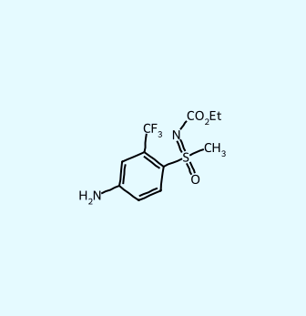 CCOC(=O)N=S(C)(=O)c1ccc(N)cc1C(F)(F)F